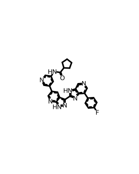 O=C(Nc1cncc(-c2cnc3[nH]nc(-c4nc5c(-c6ccc(F)cc6)cncc5[nH]4)c3c2)c1)C1CCCC1